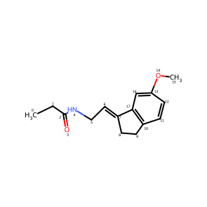 CCC(=O)NCC=C1CCc2ccc(OC)cc21